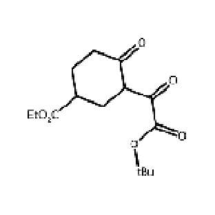 CCOC(=O)C1CCC(=O)C(C(=O)C(=O)OC(C)(C)C)C1